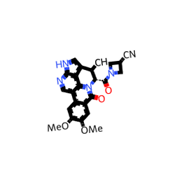 COc1cc2c(=O)n3c4c(cnc5[nH]cc(c54)C(C)[C@@H]3C(=O)N3CC(C#N)C3)c2cc1OC